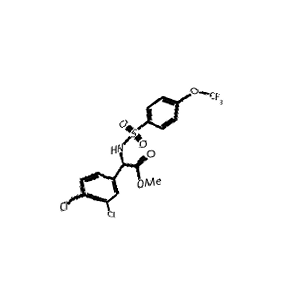 COC(=O)[C@H](NS(=O)(=O)c1ccc(OC(F)(F)F)cc1)c1ccc(Cl)c(Cl)c1